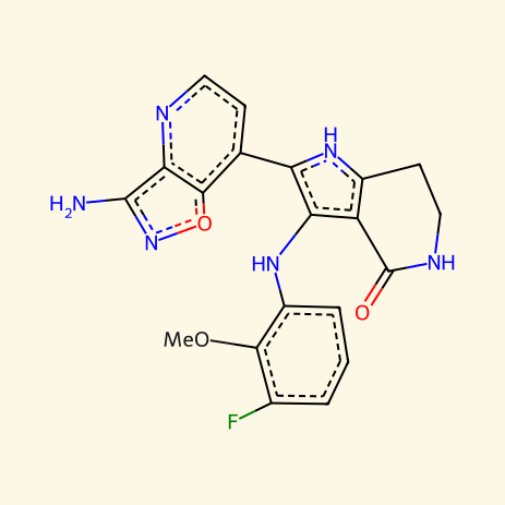 COc1c(F)cccc1Nc1c(-c2ccnc3c(N)noc23)[nH]c2c1C(=O)NCC2